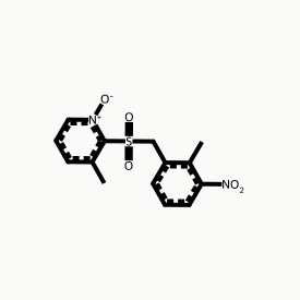 Cc1ccc[n+]([O-])c1S(=O)(=O)Cc1cccc([N+](=O)[O-])c1C